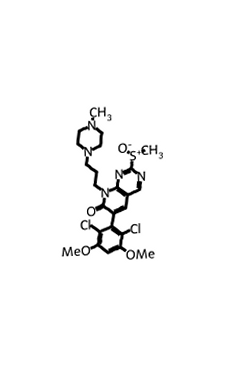 COc1cc(OC)c(Cl)c(-c2cc3cnc([S+](C)[O-])nc3n(CCCN3CCN(C)CC3)c2=O)c1Cl